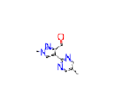 Cc1cnc(-c2cn(C)nc2C=O)nc1